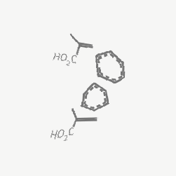 C=C(C)C(=O)O.C=C(C)C(=O)O.c1ccccc1.c1ccccc1